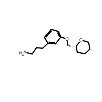 NCCCc1cccc(OC[C@H]2CCCCO2)c1